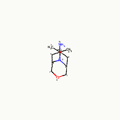 CC(C)N1C2COCC1CC(N)C2